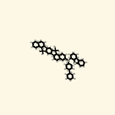 CC1(C)c2cc3c(cc2-c2ccc4ccccc4c21)C(C)(C)c1c-3ccc2cc(N(c3ccc(-c4ccccc4)cc3)c3cccc4c3oc3ccccc34)ccc12